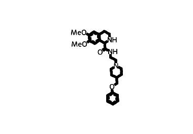 COc1cc2c(cc1OC)C(C(=O)NCCN1CCC(COc3ccccc3)CC1)NCC2